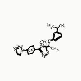 CC(C)c1cccc(O[C@@H](C)c2nnc(C34CCC(n5ccnn5)(CC3)CC4)n2C)c1